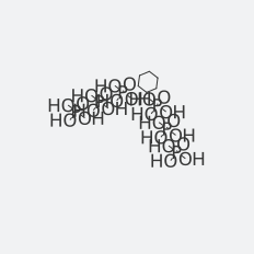 C1CCCCC1.O=P(O)(O)O.O=P(O)(O)O.O=P(O)(O)O.O=P(O)(O)O.O=P(O)(O)O.O=P(O)(O)O